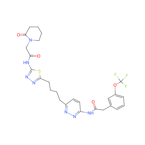 O=C(Cc1cccc(OC(F)(F)F)c1)Nc1ccc(CCCCc2nnc(NC(=O)CN3CCCCC3=O)s2)nn1